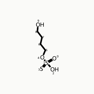 O=S(O)(=S)OCCCCO